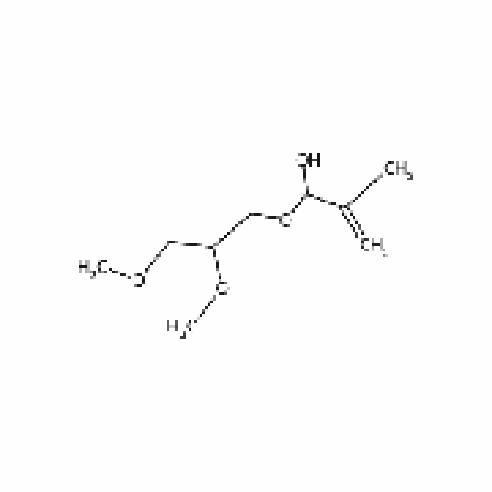 C=C(C)C(O)OCC(COC)OC